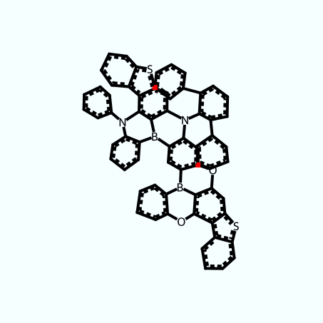 c1ccc(-c2cccc(-c3ccccc3)c2N2c3cc4c(cc3B3c5ccccc5N(c5ccccc5)c5c3c2cc2sc3ccccc3c52)B2c3ccccc3Oc3c2c(cc2sc5ccccc5c32)O4)cc1